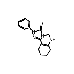 O=c1n(-c2ccccc2)nc2n1CNC1=C2CCCC1